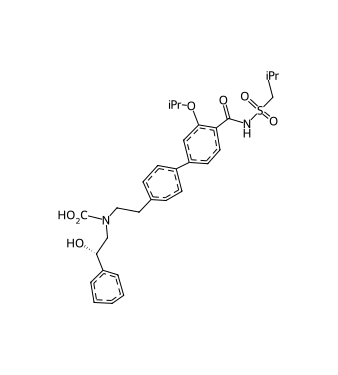 CC(C)CS(=O)(=O)NC(=O)c1ccc(-c2ccc(CCN(C[C@@H](O)c3ccccc3)C(=O)O)cc2)cc1OC(C)C